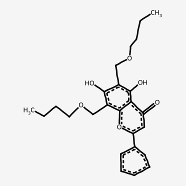 CCCCOCc1c(O)c(COCCCC)c2oc(-c3ccccc3)cc(=O)c2c1O